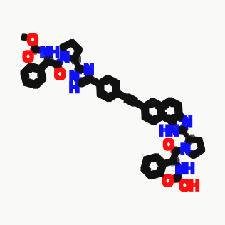 COC(=O)N[C@@H](C(=O)N1CCC[C@H]1c1nc(-c2ccc(C#Cc3ccc4c(ccc5nc([C@@H]6CCCN6C(=O)[C@H](NC(=O)O)c6ccccc6)[nH]c54)c3)cc2)c[nH]1)c1ccccc1